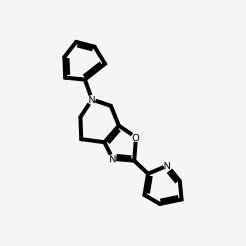 c1ccc(N2CCc3nc(-c4ccccn4)oc3C2)cc1